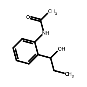 CCC(O)c1ccccc1NC(C)=O